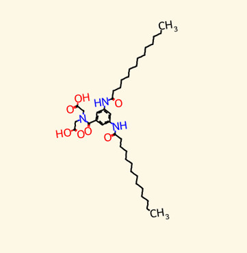 CCCCCCCCCCCCCC(=O)Nc1cc(NC(=O)CCCCCCCCCCCCC)cc(C(=O)N(CC(=O)O)CC(=O)O)c1